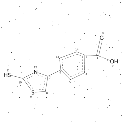 O=C(O)c1ccc(-c2csc(S)n2)cc1